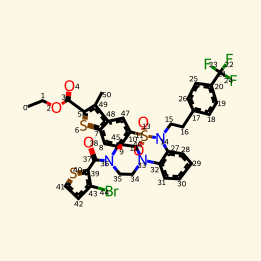 CCOC(=O)c1sc2ccc(S(=O)(=O)N(CCc3ccc(C(F)(F)F)cc3)c3ccccc3N3CCN(C(=O)c4sccc4Br)CC3)cc2c1C